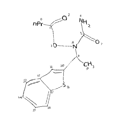 CCCC(=O)ON(C(N)=O)C(C)c1cc2ccccc2s1